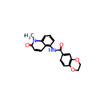 Cn1c(=O)ccc2c(NC(=O)c3ccc4c(c3)OCCO4)cccc21